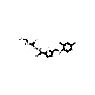 Cc1ccc(OCc2ccc(C(=O)NNC(=S)NCC(C)C)o2)c(C)c1